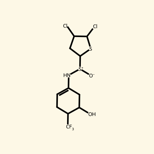 [O-][S+](NC1=CCC(C(F)(F)F)C(O)C1)C1CC(Cl)C(Cl)S1